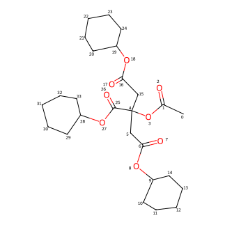 CC(=O)OC(CC(=O)OC1CCCCC1)(CC(=O)OC1CCCCC1)C(=O)OC1CCCCC1